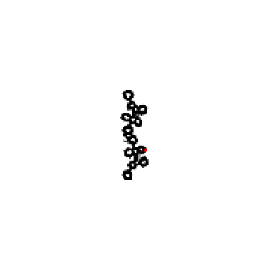 c1ccc(-c2ccc3c(c2)c2ccccc2n3-c2c3ccccc3c(-c3ccc4c(c3)sc3ccc(-c5c6ccccc6c(-n6c7ccccc7c7cc(-c8ccccc8)ccc76)c6ccccc56)cc34)c3ccccc23)cc1